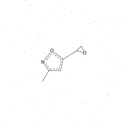 Cc1cc(C2CO2)on1